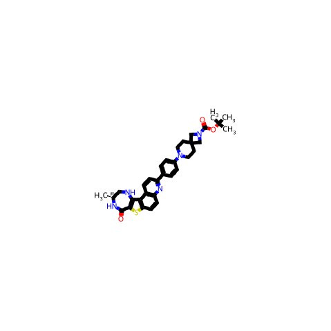 C[C@@H]1CNc2c(sc3ccc4nc(-c5ccc(N6CCC7(CC6)CN(C(=O)OC(C)(C)C)C7)cc5)ccc4c23)C(=O)N1